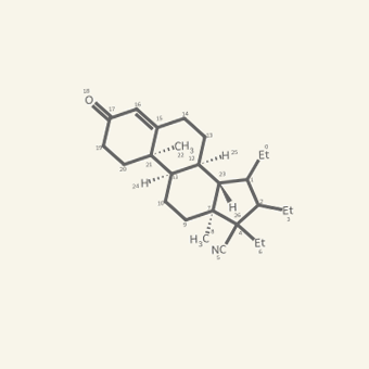 CCC1C(CC)C(C#N)(CC)[C@@]2(C)CC[C@@H]3[C@@H](CCC4=CC(=O)CC[C@@]43C)[C@H]12